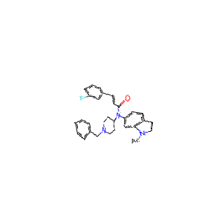 CC(=O)N1CCc2ccc(N(C(=O)C=Cc3cccc(F)c3)C3CCN(Cc4ccccc4)CC3)cc21